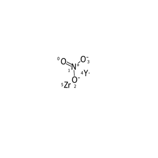 O=[N+]([O-])[O-].[Y].[Zr]